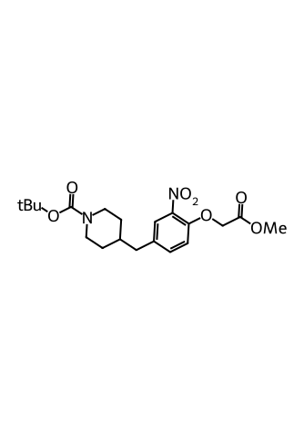 COC(=O)COc1ccc(CC2CCN(C(=O)OC(C)(C)C)CC2)cc1[N+](=O)[O-]